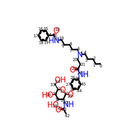 CCCCCN(CCCCCNC(=O)c1ccccc1)CCC(=O)Nc1ccc(O[C@@H]2O[C@H](CO)[C@H](O)[C@H](O)[C@H]2NC(C)=O)cc1